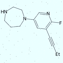 CCC#Cc1cc(N2CCCNCC2)cnc1F